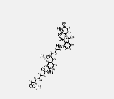 CN(CCCCNc1cccc2c1C(=O)N(C1CCC(=O)NC1=O)C2=O)Cc1ccc(NC(=O)CCCCCCC(=O)O)cc1